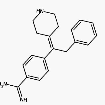 N=C(N)c1ccc(C(Cc2ccccc2)=C2CCNCC2)cc1